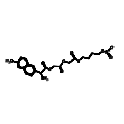 Cc1ccc2cc(C(C)C(=O)OCC(=O)OCC(=O)OCCCCO[N+](=O)[O-])ccc2c1